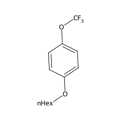 [CH2]CCCCCOc1ccc(OC(F)(F)F)cc1